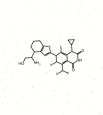 CC1=c2c(c(=O)[nH]c(=O)n2C2CC2)=C(C(F)F)C(F)C1c1cc2c(s1)CCCC2C(N)CO